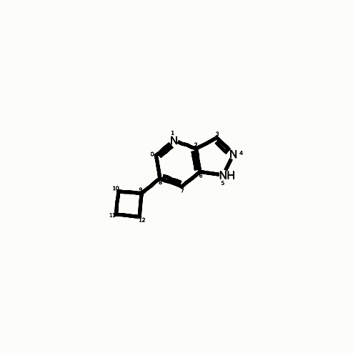 c1nc2cn[nH]c2cc1C1CCC1